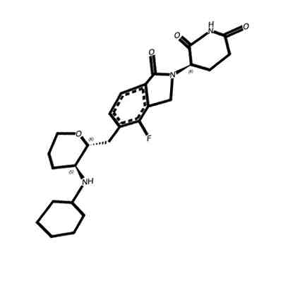 O=C1CC[C@@H](N2Cc3c(ccc(C[C@H]4OCCC[C@@H]4NC4CCCCC4)c3F)C2=O)C(=O)N1